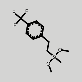 CO[Si](C)(CCc1ccc(C(F)(F)F)cc1)OC